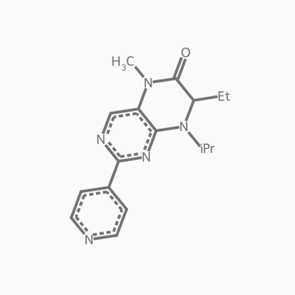 CCC1C(=O)N(C)c2cnc(-c3ccncc3)nc2N1C(C)C